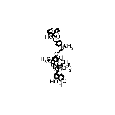 COc1cc(OCCCN(C)C2CCC(OC(=O)C(O)(c3cccs3)c3cccs3)CC2)c(Cl)cc1CNC[C@@H](O[Si](C)(C)C(C)(C)C)c1ccc(O)c2[nH]c(=O)ccc12